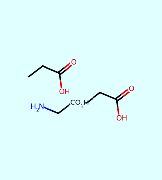 CCC(=O)O.CCC(=O)O.NCC(=O)O